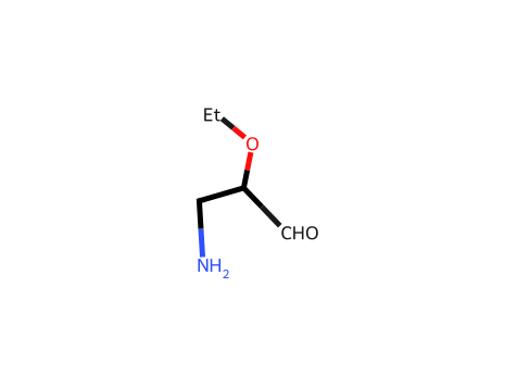 CCOC(C=O)CN